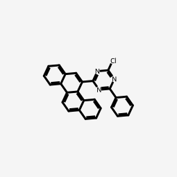 Clc1nc(-c2ccccc2)nc(-c2cc3ccccc3c3ccc4ccccc4c23)n1